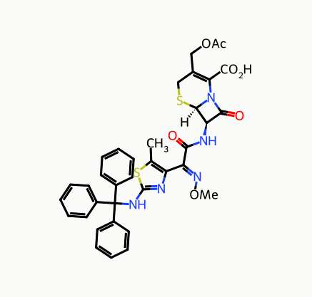 CON=C(C(=O)N[C@@H]1C(=O)N2C(C(=O)O)=C(COC(C)=O)CS[C@H]12)c1nc(NC(c2ccccc2)(c2ccccc2)c2ccccc2)sc1C